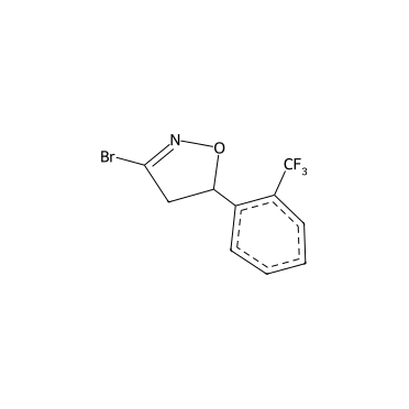 FC(F)(F)c1ccccc1C1CC(Br)=NO1